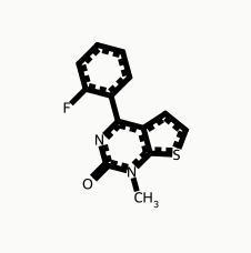 Cn1c(=O)nc(-c2ccccc2F)c2ccsc21